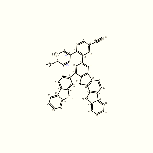 C/C=C(\C=C/CC)c1ccc(C#N)cc1-c1cc2c3ccc4c5ccccc5oc4c3n3c2c(c1)c1ccc2c4ccccc4oc2c13